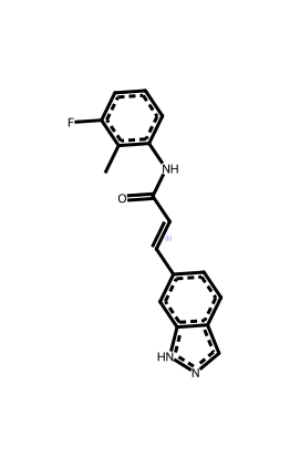 Cc1c(F)cccc1NC(=O)/C=C/c1ccc2cn[nH]c2c1